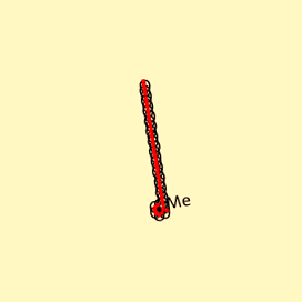 C=CCOCCOCCOCCOCCOCCOCCOCCOCCOCCOCCOCCOCCOCCOCCOCCOCCOCCOCCOCCOCCOCCOCCOCCOCCOCC(C)OCC(C)OCC(C)OCC(C)OCC(C)OC